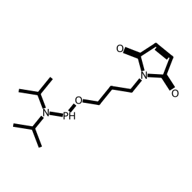 CC(C)N(POCCCN1C(=O)C=CC1=O)C(C)C